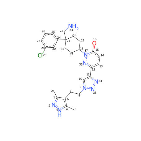 Cc1n[nH]c(C)c1CCn1cc(-c2ccc(=O)n(C3CCC(CN)(c4cccc(Cl)c4)CC3)n2)nn1